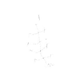 COC(F)(F)C(F)(F)C(F)(F)C(F)(F)CF